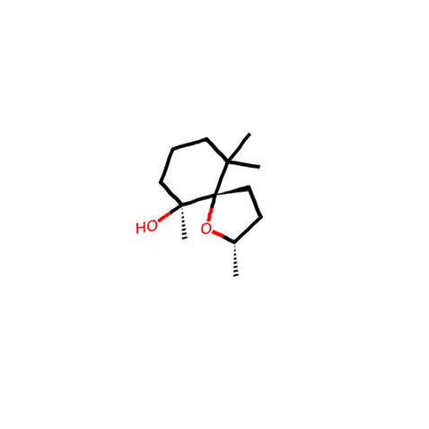 C[C@H]1CC[C@]2(O1)C(C)(C)CCC[C@]2(C)O